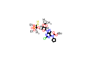 CCOP(=O)(OCC)C(C)(CS)OC[C@H]1O[C@@H](n2ncc3c(N(C(=O)OC(C)(C)C)C4CCCC4)nc(Cl)nc32)[C@@H]2OC(C)(C)O[C@@H]21